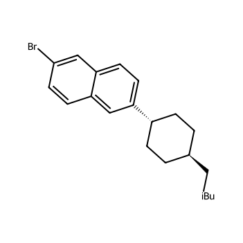 CCC(C)C[C@H]1CC[C@H](c2ccc3cc(Br)ccc3c2)CC1